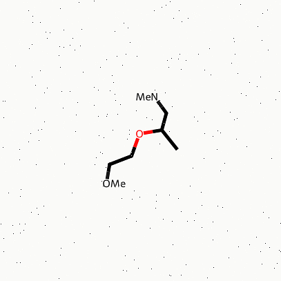 CNCC(C)OCCOC